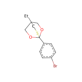 CCC12COC(c3ccc(Br)cc3)(OC1)SC2